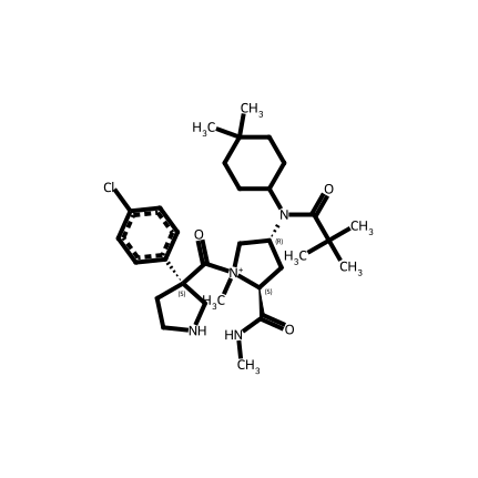 CNC(=O)[C@@H]1C[C@@H](N(C(=O)C(C)(C)C)C2CCC(C)(C)CC2)C[N+]1(C)C(=O)[C@]1(c2ccc(Cl)cc2)CCNC1